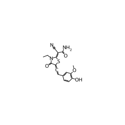 CCn1c(=O)c(=C=Cc2ccc(O)c(OC)c2)s/c1=C(/C#N)C(N)=O